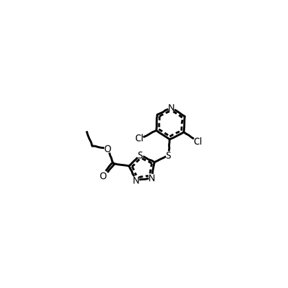 CCOC(=O)c1nnc(Sc2c(Cl)cncc2Cl)s1